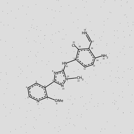 COc1ncccc1-c1nc(Nc2ccc(N)c(C=N)c2Cl)n(C)n1